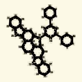 c1ccc(-c2nc(-c3ccccc3)nc(-n3c4cc5c6ccccc6sc5c5ccc6c7sc8ccccc8c7cc3c6c54)n2)cc1